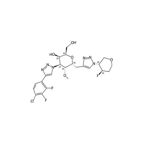 CO[C@@H]1[C@@H](n2cc(-c3ccc(Cl)c(F)c3F)nn2)[C@@H](O)[C@@H](CO)O[C@@H]1Cc1cn([C@@H]2COCC[C@H]2F)nn1